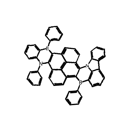 c1ccc(B2c3ccccc3N(c3ccccc3)c3c2c2cccc4c5c(c6cccc3c6c24)B(c2ccccc2)c2cccc3c4ccccc4n-5c23)cc1